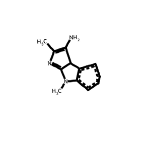 CC1=C(N)C2C(=N1)N(C)c1ccccc12